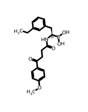 CCc1cccc(C[C@H](NC(=O)CCC(=O)c2ccc(OC)cc2)B(O)O)c1